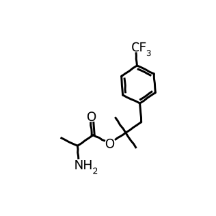 CC(N)C(=O)OC(C)(C)Cc1ccc(C(F)(F)F)cc1